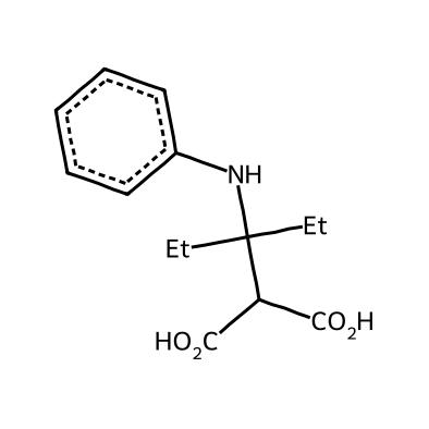 CCC(CC)(Nc1ccccc1)C(C(=O)O)C(=O)O